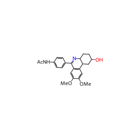 COc1cc2c(cc1OC)C1CC(O)CCC1N=C2c1ccc(NC(C)=O)cc1